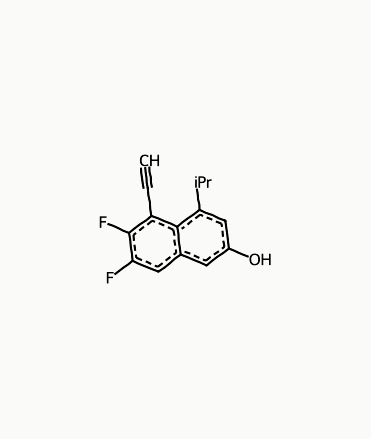 C#Cc1c(F)c(F)cc2cc(O)cc(C(C)C)c12